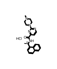 C[C@@H](NC(=O)c1ccnc(N2CCN(C)CC2)n1)c1cccc2ccccc12.Cl